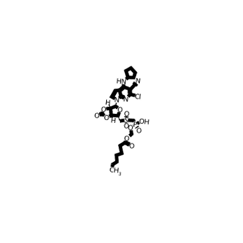 CCCCCCC(=O)OCOP(=O)(O)CS(=O)(=O)C[C@H]1O[C@@H](n2ccc3c(NC4CCCC4)c(C#N)c(Cl)nc32)[C@@H]2OC(=O)O[C@@H]21